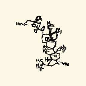 C=C(C)[C@@H]1CC[C@]2(CCCC)CC[C@]3(C)[C@H](CC[C@@H]4[C@@]5(C)CC[C@H](OC(=O)CC(C)(C)CC(=O)O)C(C)(C)[C@@H]5CC[C@]43C)[C@@H]12